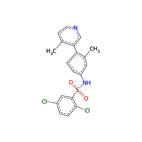 Cc1cc(NS(=O)(=O)c2cc(Cl)ccc2Cl)ccc1-c1cnccc1C